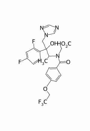 CC(N(CC(=O)O)C(=O)c1ccc(OCC(F)(F)F)cc1)C(O)(Cn1cncn1)c1ccc(F)cc1F